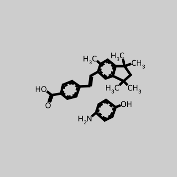 Cc1cc2c(cc1C=Cc1ccc(C(=O)O)cc1)C(C)(C)CC2(C)C.Nc1ccc(O)cc1